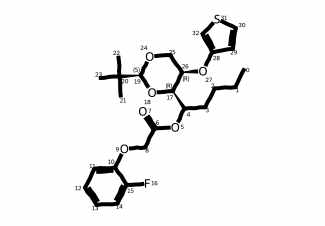 CCCCC(OC(=O)COc1ccccc1F)[C@H]1O[C@@H](C(C)(C)C)OC[C@H]1Oc1ccsc1